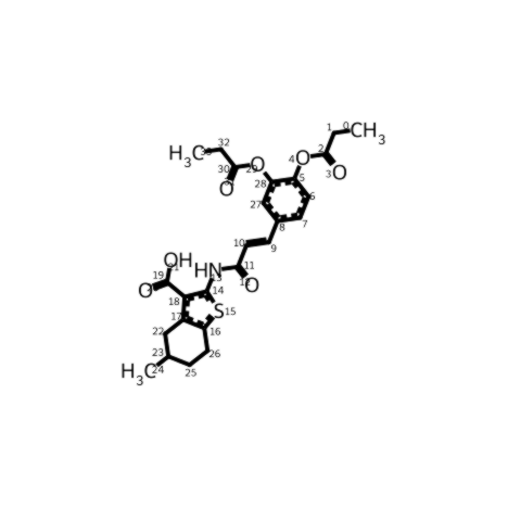 CCC(=O)Oc1ccc(/C=C/C(=O)Nc2sc3c(c2C(=O)O)CC(C)CC3)cc1OC(=O)CC